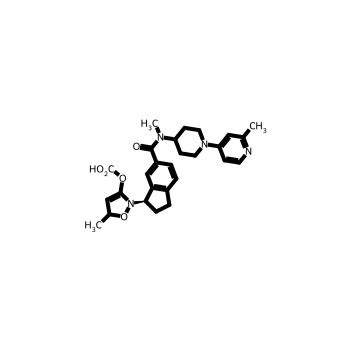 Cc1cc(N2CCC(N(C)C(=O)c3ccc4c(c3)[C@H](N3OC(C)C=C3OC(=O)O)CC4)CC2)ccn1